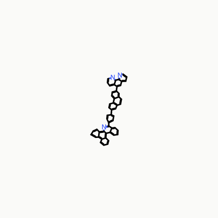 c1cnc2c(c1)cc(-c1ccc3c(ccc4cc(-c5ccc(-c6nc7c8ccccc8c8ccccc8c7c7ccccc67)cc5)ccc43)c1)c1cccnc12